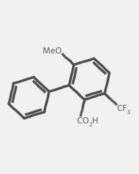 COc1ccc(C(F)(F)F)c(C(=O)O)c1-c1ccccc1